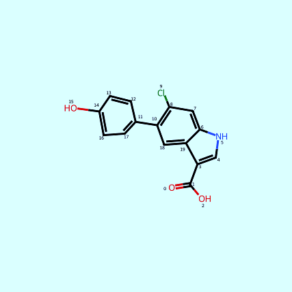 O=C(O)c1c[nH]c2cc(Cl)c(-c3ccc(O)cc3)cc12